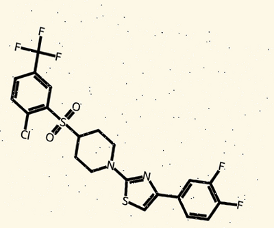 O=S(=O)(c1cc(C(F)(F)F)ccc1Cl)C1CCN(c2nc(-c3ccc(F)c(F)c3)cs2)CC1